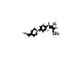 COC(=O)C(C)(C)Nc1ccc(N2CCC(CO)CC2)cc1